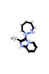 Cc1nc2ccccn2c1N1CCCCCN1